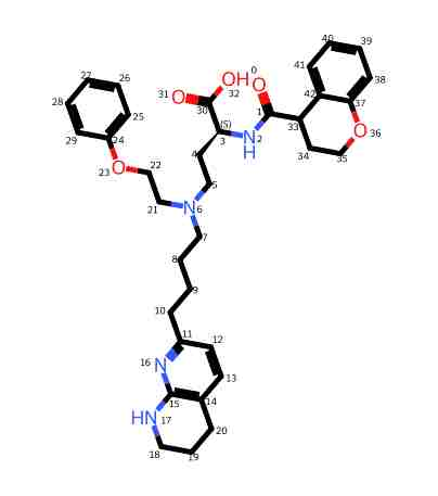 O=C(N[C@@H](CCN(CCCCc1ccc2c(n1)NCCC2)CCOc1ccccc1)C(=O)O)C1CCOc2ccccc21